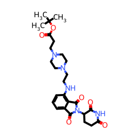 CC(C)(C)OC(=O)CCN1CCN(CCNc2cccc3c2C(=O)N(C2CCC(=O)NC2=O)C3=O)CC1